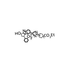 CCOC(=O)C1(C)CCN(c2ncc(-c3ccc4nc5c(n4c3)C(c3ccccc3OC(F)F)CC5O)cn2)CC1